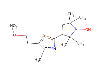 Cc1nc(C2CC(C)(C)N(O)C2(C)C)sc1CCO[N+](=O)[O-]